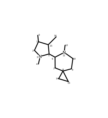 CC1CN(C)C(C2CC3(CCN2C)CC3)C1C